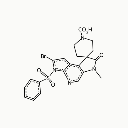 CN1C(=O)C2(CCN(C(=O)O)CC2)c2c1cnc1c2cc(Br)n1S(=O)(=O)c1ccccc1